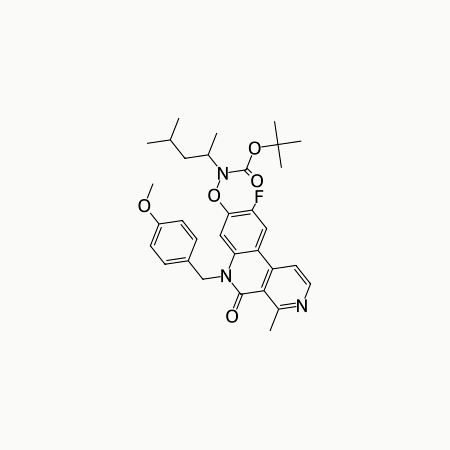 COc1ccc(Cn2c(=O)c3c(C)nccc3c3cc(F)c(ON(C(=O)OC(C)(C)C)C(C)CC(C)C)cc32)cc1